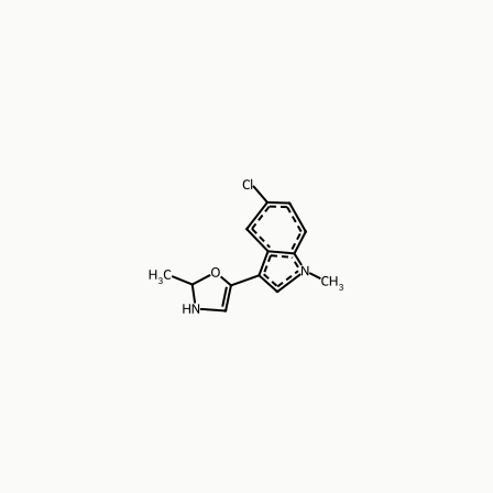 CC1NC=C(c2cn(C)c3ccc(Cl)cc23)O1